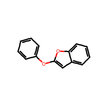 [c]1ccc(Oc2cc3ccccc3o2)cc1